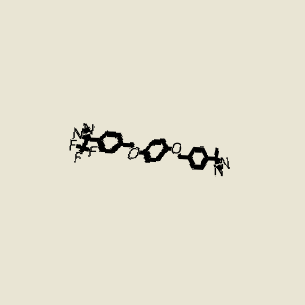 CC1(c2ccc(COc3ccc(OCc4ccc(C5(C(F)(F)F)N=N5)cc4)cc3)cc2)N=N1